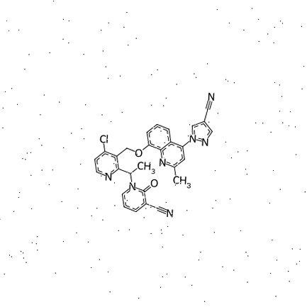 Cc1cc(-n2cc(C#N)cn2)c2cccc(OCc3c(Cl)ccnc3C(C)n3cccc(C#N)c3=O)c2n1